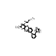 CCCCc1nc(C)nc(OCCOC(C)C)c1Cc1ccc(-c2ccccc2-c2noc(=O)[nH]2)cc1